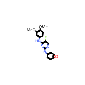 COc1ccc(Nc2nc(Nc3ccc4c(c3)O4)ncc2F)cc1OC